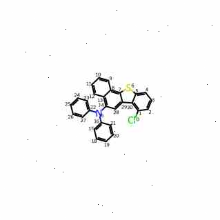 Clc1cccc2sc3c4ccccc4c(N(c4ccccc4)c4ccccc4)cc3c12